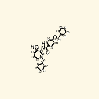 O=C(NC1=CN(Cc2ccccc2)C=CC=C1O)c1ccc(OCc2ccccc2)cc1